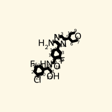 Nc1ncc(C2CCOCC2)nc1-c1ccc(C(=O)NC(CO)c2cc(F)cc(Cl)c2)c(F)c1